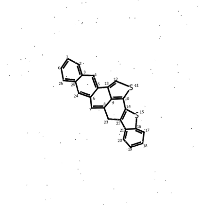 c1ccc2cc3c(cc4c5c(scc53)-c3sc5ccccc5c3C4)cc2c1